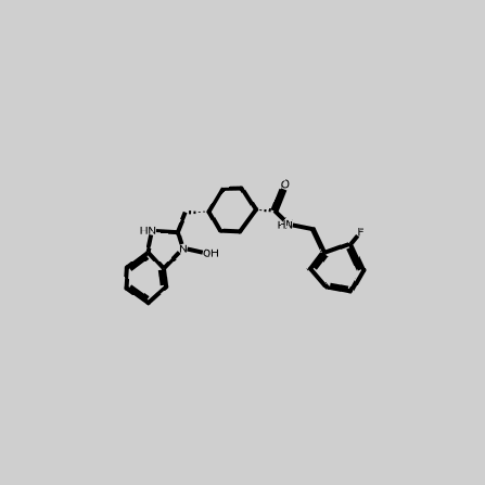 O=C(NCc1ccccc1F)[C@H]1CC[C@@H](CC2Nc3ccccc3N2O)CC1